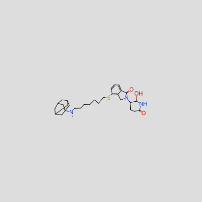 CN(CCCCCCCSc1cccc2c1CN(C1CCC(=O)NC1O)C2=O)C12CC3CC(CC(C3)C1)C2